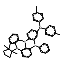 Cc1ccc(N(c2ccc(C)cc2)c2ccc3c(c2)N(c2ccccc2)c2cccc4c2N3c2cccc3c2N4C2(C)CCCC32C)cc1